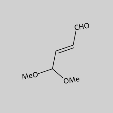 COC(C=CC=O)OC